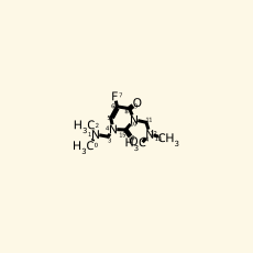 CN(C)Cn1cc(F)c(=O)n(CN(C)C)c1=O